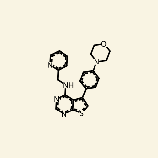 c1ccc(CNc2ncnc3scc(-c4ccc(N5CCOCC5)cc4)c23)nc1